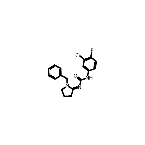 O=C(/N=C1/CCCN1Cc1ccccc1)Nc1ccc(F)c(Cl)c1